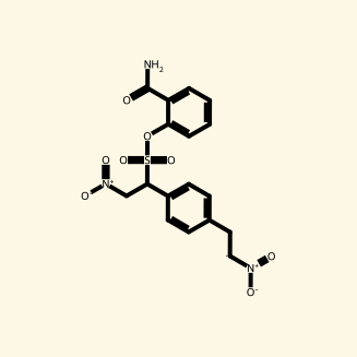 NC(=O)c1ccccc1OS(=O)(=O)C(C[N+](=O)[O-])c1ccc(C[CH][N+](=O)[O-])cc1